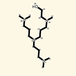 CN(C)CCCN(CCCN(C)C)CCCN(C)CCO